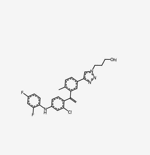 C=C(c1cc(-c2cn(CCCO)nn2)ccc1C)c1ccc(Nc2ccc(F)cc2F)cc1Cl